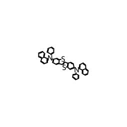 c1ccc(N(c2ccc3c(c2)sc2c4ccc(N(c5ccccc5)c5cccc6ccccc56)cc4sc32)c2cccc3ccccc23)cc1